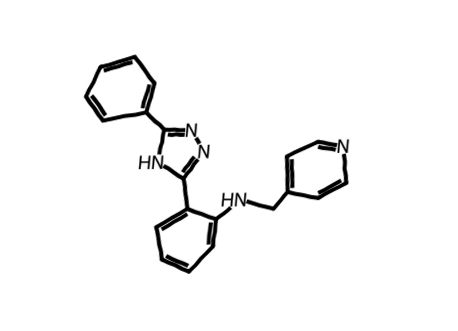 c1ccc(-c2nnc(-c3ccccc3NCc3ccncc3)[nH]2)cc1